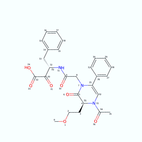 COCC[C@H]1C(=O)N(CC(=O)N[C@@H](Cc2ccccc2)C(=O)C(=O)O)C(c2ccccc2)=CN1C(C)=O